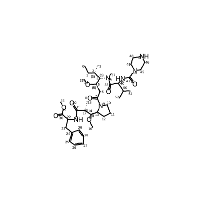 CC[C@H](C)[C@@H]([C@@H](CC(=O)N1CCCC1[C@H](OC)[C@@H](C)C(=O)NC(Cc1ccccc1)C(=O)OC)OC)N(C)C(=O)C(NC(=O)N1CCNCC1)C(C)C